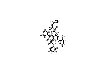 CCc1ccncc1-c1cc2cc(N(C)C(=O)C3CC3C#N)ncc2c(N(B(C)Cc2ccccc2)B(C)Cc2ccccc2)n1